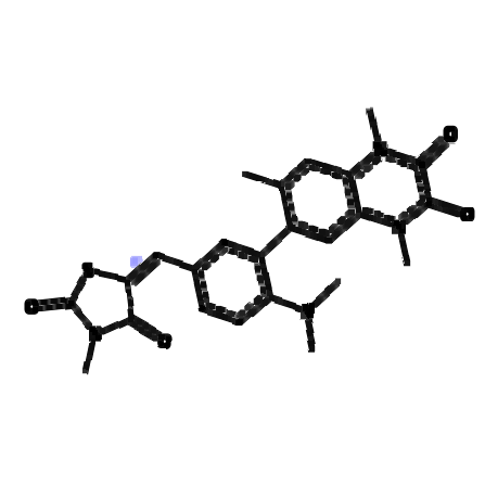 Cc1cc2c(cc1-c1cc(/C=C3/SC(=O)N(C)C3=O)ccc1N(C)C)n(C)c(=O)c(=O)n2C